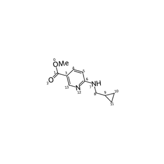 COC(=O)c1ccc(NCC2CC2)nc1